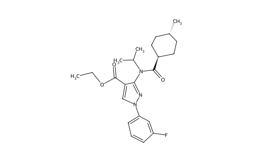 CCOC(=O)c1cn(-c2cccc(F)c2)nc1N(C(=O)[C@H]1CC[C@H](C)CC1)C(C)C